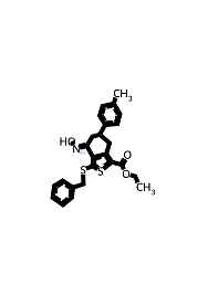 CCOC(=O)c1sc(SCc2ccccc2)c2c1CC(c1ccc(C)cc1)C/C2=N\O